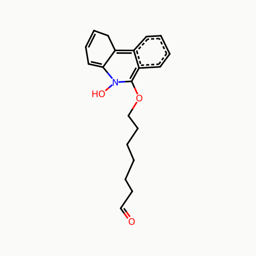 O=CCCCCCCOC1=c2ccccc2=C2CC=CC=C2N1O